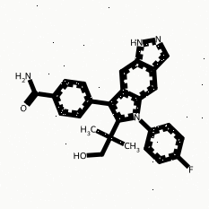 CC(C)(CO)c1c(-c2ccc(C(N)=O)cc2)c2cc3[nH]ncc3cc2n1-c1ccc(F)cc1